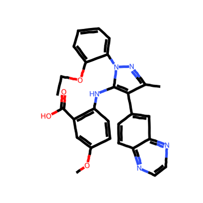 CCOc1ccccc1-n1nc(C)c(-c2ccc3nccnc3c2)c1Nc1ccc(OC)cc1C(=O)O